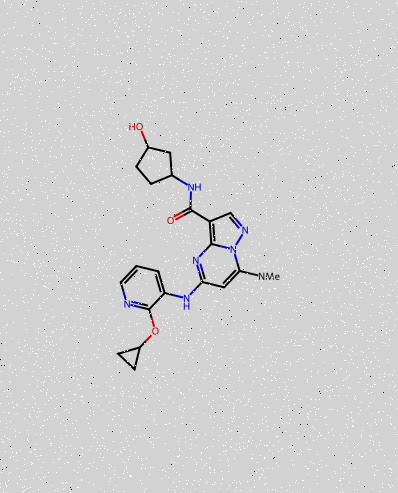 CNc1cc(Nc2cccnc2OC2CC2)nc2c(C(=O)NC3CCC(O)C3)cnn12